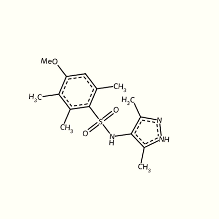 COc1cc(C)c(S(=O)(=O)Nc2c(C)n[nH]c2C)c(C)c1C